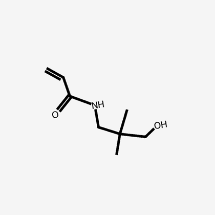 C=CC(=O)NCC(C)(C)CO